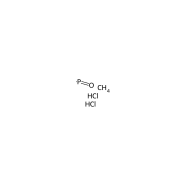 C.Cl.Cl.O=[P]